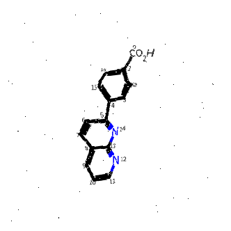 O=C(O)c1ccc(-c2ccc3cccnc3n2)cc1